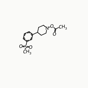 CC(=O)ON1CCC(c2cccc(S(C)(=O)=O)c2)CC1